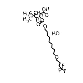 C[N+](C)(C)C[C@@H](CC(=O)O)OP(O)OCCCCCCCCCOCCCC(F)(F)F.[OH-]